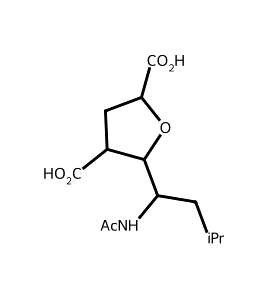 CC(=O)NC(CC(C)C)C1OC(C(=O)O)CC1C(=O)O